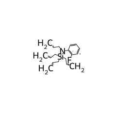 C=CCN(c1ccc[c]c1F)[Si](CC=C)(CC=C)CC=C